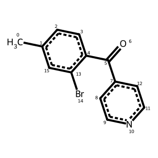 Cc1ccc(C(=O)c2ccncc2)c(Br)c1